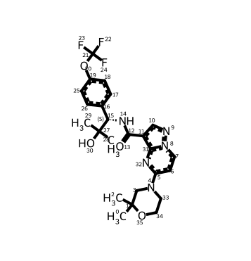 CC1(C)CN(c2ccn3ncc(C(=O)N[C@@H](c4ccc(OC(F)(F)F)cc4)C(C)(C)O)c3n2)CCO1